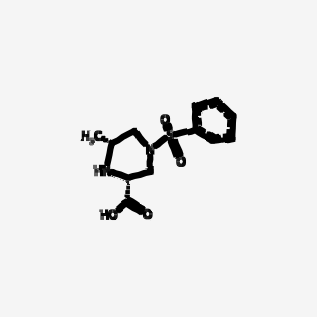 C[C@@H]1CN(S(=O)(=O)c2ccccc2)C[C@H](C(=O)O)N1